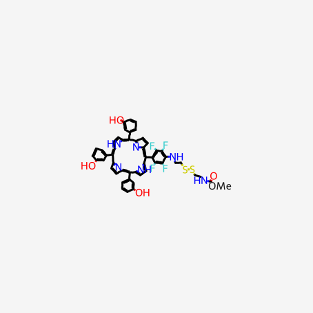 COC(=O)NCCSSCCNc1c(F)c(F)c(-c2c3nc(c(-c4cccc(O)c4)c4ccc([nH]4)c(-c4cccc(O)c4)c4nc(c(-c5cccc(O)c5)c5ccc2[nH]5)C=C4)C=C3)c(F)c1F